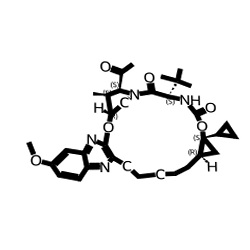 COc1ccc2nc3c(nc2c1)O[C@H]1CN(C(=O)[C@H](C(C)(C)C)NC(=O)O[C@]2(C4CC4)C[C@H]2CCCCC3)[C@H](C(C)=O)[C@@H]1C